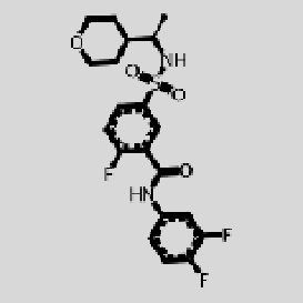 C[C@@H](NS(=O)(=O)c1ccc(F)c(C(=O)Nc2ccc(F)c(F)c2)c1)C1CCOCC1